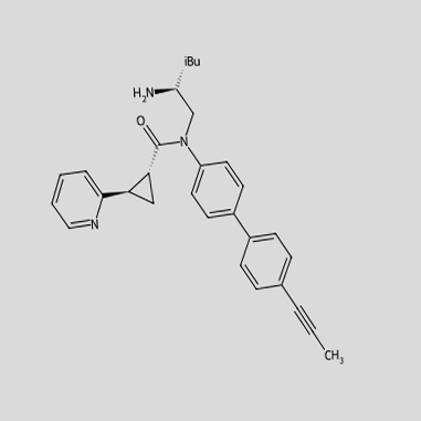 CC#Cc1ccc(-c2ccc(N(C[C@@H](N)[C@@H](C)CC)C(=O)[C@@H]3C[C@H]3c3ccccn3)cc2)cc1